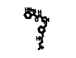 CN(C)CCNCc1cccc(Cn2cc(NC(=O)c3n[nH]c4ccccc34)cn2)c1